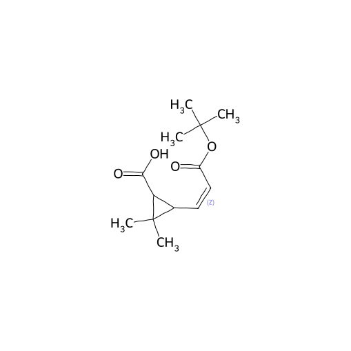 CC(C)(C)OC(=O)/C=C\C1C(C(=O)O)C1(C)C